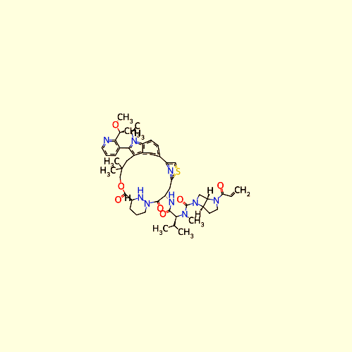 C=CC(=O)N1CC[C@H]2[C@@H]1CN2C(=O)N(C)[C@H](C(=O)N[C@H]1Cc2nc(cs2)-c2ccc3c(c2)c(c(-c2cccnc2[C@H](C)OC)n3CC)CC(C)(C)COC(=O)[C@@H]2CCCN(N2)C1=O)C(C)C